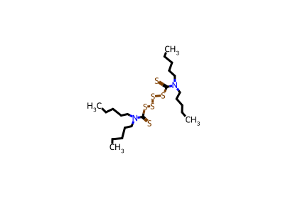 CCCCCN(CCCCC)C(=S)SSSSC(=S)N(CCCCC)CCCCC